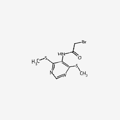 CSc1ncnc(SC)c1NC(=O)CBr